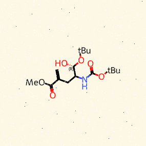 C=C(CC(NC(=O)OC(C)(C)C)[C@H](O)OC(C)(C)C)C(=O)OC